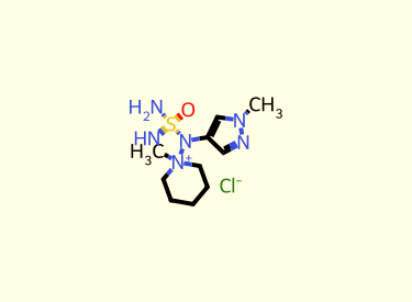 Cn1cc(N([N+]2(C)CCCCC2)S(=N)(N)=O)cn1.[Cl-]